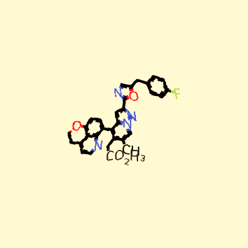 Cc1cn2nc(-c3ncc(Cc4ccc(F)cc4)o3)cc2c(-c2ccc3c4c(ccnc24)CCO3)c1CC(=O)O